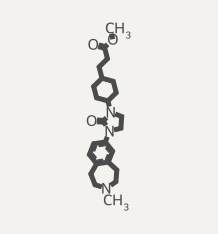 COC(=O)CCC1CCC(N2CCN(c3ccc4c(c3)CCN(C)CC4)C2=O)CC1